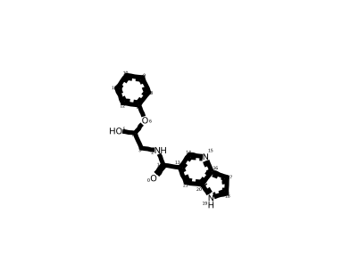 O=C(NCC(O)Oc1ccccc1)c1cnc2cc[nH]c2c1